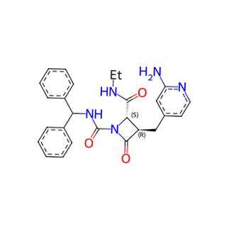 CCNC(=O)[C@@H]1[C@@H](Cc2ccnc(N)c2)C(=O)N1C(=O)NC(c1ccccc1)c1ccccc1